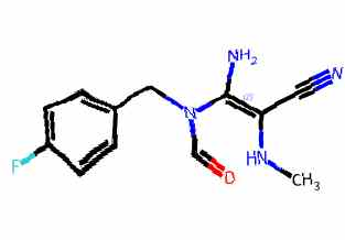 CN/C(C#N)=C(/N)N(C=O)Cc1ccc(F)cc1